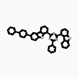 c1ccc(-c2ccc(-c3ccc4oc5c(-c6nc(-c7ccccc7)nc(-c7cccc8oc9ccccc9c78)n6)cccc5c4c3)cc2)cc1